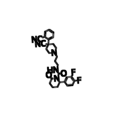 N#Cc1ccccc1C1(C#N)CCN(CCCNC(=O)N2C(=O)CCCC2c2ccc(F)c(F)c2)CC1